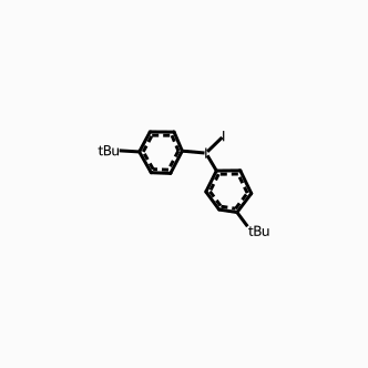 CC(C)(C)c1ccc(I(I)c2ccc(C(C)(C)C)cc2)cc1